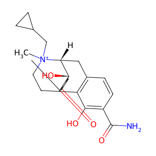 C[N+]1(CC2CC2)CCC23CC(=O)CC[C@@]2(O)[C@H]1Cc1ccc(C(N)=O)c(O)c13